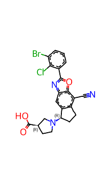 N#Cc1c2c(cc3nc(-c4cccc(Br)c4Cl)oc13)[C@H](N1CC[C@@H](C(=O)O)C1)CC2